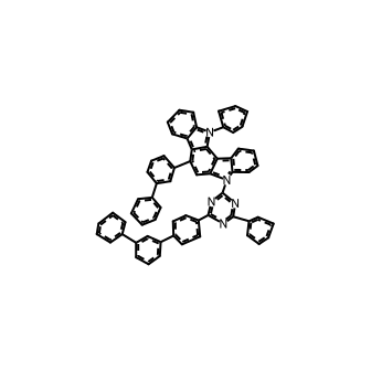 c1ccc(-c2cccc(-c3ccc(-c4nc(-c5ccccc5)nc(-n5c6ccccc6c6c5cc(-c5cccc(-c7ccccc7)c5)c5c7ccccc7n(-c7ccccc7)c56)n4)cc3)c2)cc1